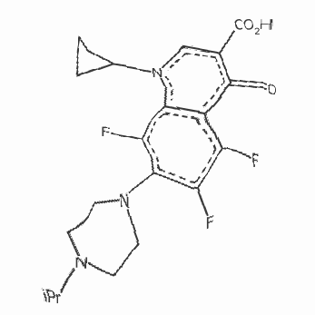 CC(C)N1CCN(c2c(F)c(F)c3c(=O)c(C(=O)O)cn(C4CC4)c3c2F)CC1